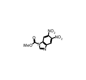 COC(=O)n1cnc2cc([N+](=O)[O-])c([N+](=O)[O-])cc21